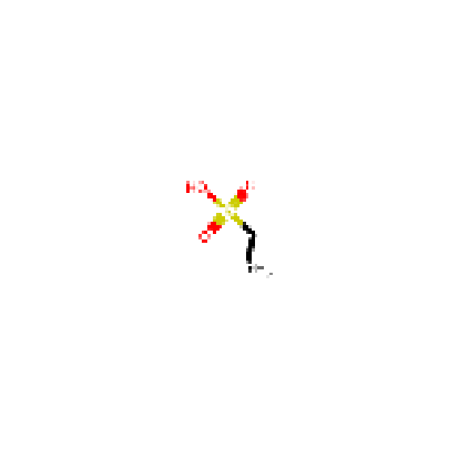 O=S(=O)(O)[CH2][InH2]